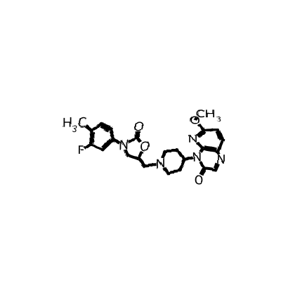 COc1ccc2ncc(=O)n(C3CCN(CC4CN(c5ccc(C)c(F)c5)C(=O)O4)CC3)c2n1